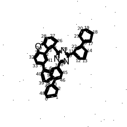 c1ccc(-c2ccc(-c3nc(-c4cccc(-c5ccccc5)c4)nc(-c4cccc5oc6ccc(-c7ccccc7)cc6c45)n3)cc2)cc1